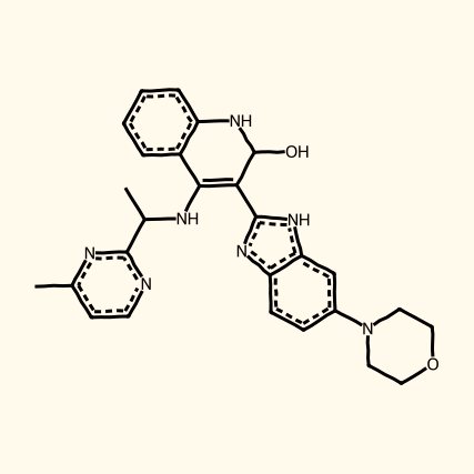 Cc1ccnc(C(C)NC2=C(c3nc4ccc(N5CCOCC5)cc4[nH]3)C(O)Nc3ccccc32)n1